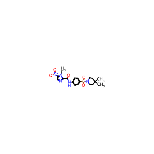 Cn1c([N+](=O)[O-])cnc1C(=O)Nc1ccc(S(=O)(=O)N2CCC(C)(C)CC2)cc1